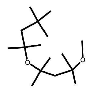 COC(C)(C)CC(C)(C)OC(C)(C)CC(C)(C)C